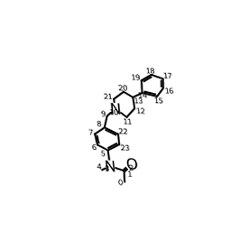 CC(=O)N(C)c1ccc(CN2CCC(c3ccccc3)CC2)cc1